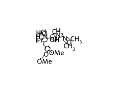 COCCCOc1cc(CC(CC(N)C(O)CC(C)C(=O)NCCN2C[C@@H](C)O[C@@H](C)C2)C(C)C)ccc1OC.Cl.Cl